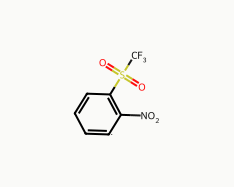 O=[N+]([O-])c1[c]cccc1S(=O)(=O)C(F)(F)F